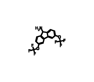 NC1c2ccc(OC(F)(F)F)cc2-c2cc(OC(F)(F)F)ccc21